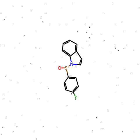 [O-][S+](c1ccc(F)cc1)n1ccc2ccccc21